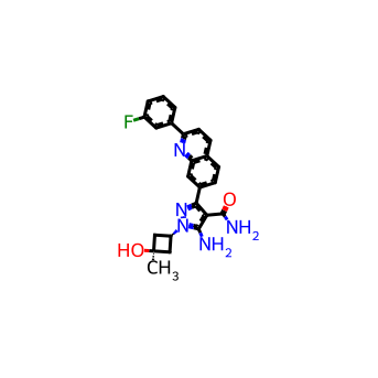 C[C@]1(O)C[C@@H](n2nc(-c3ccc4ccc(-c5cccc(F)c5)nc4c3)c(C(N)=O)c2N)C1